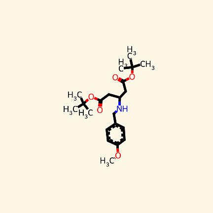 COc1ccc(CNC(CC(=O)OC(C)(C)C)CC(=O)OC(C)(C)C)cc1